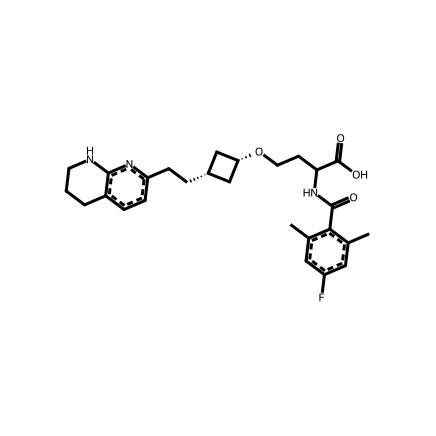 Cc1cc(F)cc(C)c1C(=O)NC(CCO[C@H]1C[C@@H](CCc2ccc3c(n2)NCCC3)C1)C(=O)O